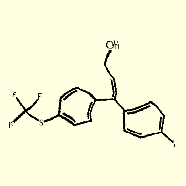 OC/C=C(/c1ccc(I)cc1)c1ccc(SC(F)(F)F)cc1